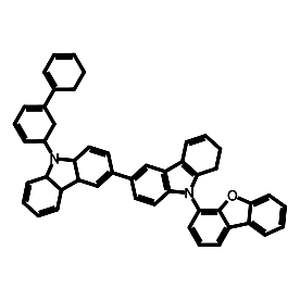 C1=CCCC(C2=CC=CC(N3C4C=CC=CC4C4C=C(c5ccc6c(c5)c5c(n6-c6cccc7c6oc6ccccc67)CCC=C5)C=CC43)C2)=C1